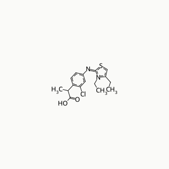 CCc1csc(=Nc2ccc(C(C)C(=O)O)c(Cl)c2)n1CC